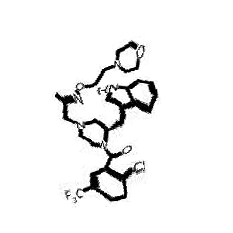 CC(CN1CCN(C(=O)c2cc(C(F)(F)F)ccc2Cl)[C@H](Cc2c[nH]c3ccccc23)C1)=NOCCN1CCOCC1